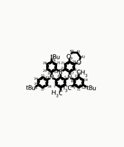 Cc1cc2c3c(c1)N(c1c(C)cc(C(C)(C)C)cc1C)c1cc4c(cc1B3c1cc(C(C)(C)C)ccc1N2c1ccc(C(C)(C)C)cc1)OCCCO4